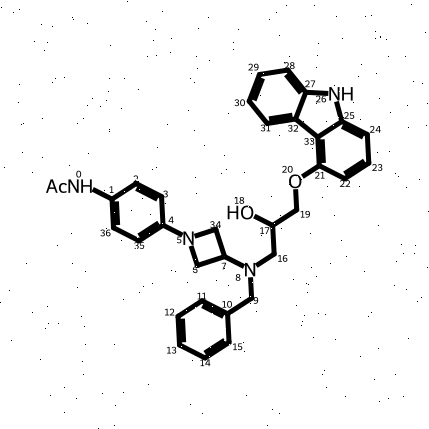 CC(=O)Nc1ccc(N2CC(N(Cc3ccccc3)CC(O)COc3cccc4[nH]c5ccccc5c34)C2)cc1